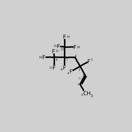 C/C=C/C(F)(F)CC(F)(C(F)(F)F)C(F)(F)F